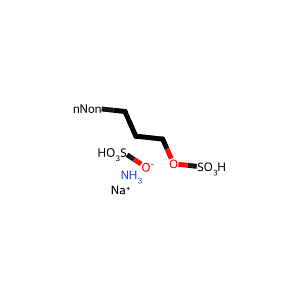 CCCCCCCCCCCCOS(=O)(=O)O.N.O=S(=O)([O-])O.[Na+]